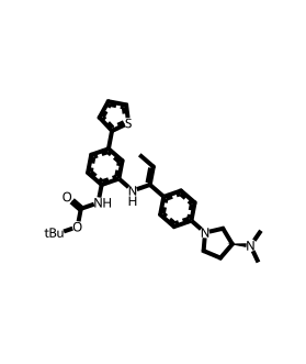 C/C=C(\Nc1cc(-c2cccs2)ccc1NC(=O)OC(C)(C)C)c1ccc(N2CC[C@H](N(C)C)C2)cc1